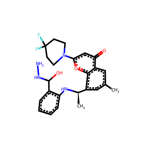 Cc1cc([C@@H](C)Nc2ccccc2C(O)NN)c2oc(N3CCC(F)(F)CC3)cc(=O)c2c1